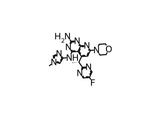 C[C@@H](c1ncc(F)cn1)c1cc(N2CCOCC2)nc2nc(N)nc(Nc3cn(C)cn3)c12